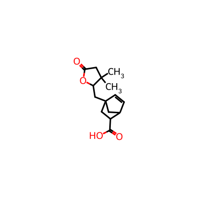 CC1(C)CC(=O)OC1CC12C=CC(C1)C(C(=O)O)C2